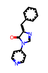 O=C1/C(=C/c2ccccc2)N=CN1c1ccncc1